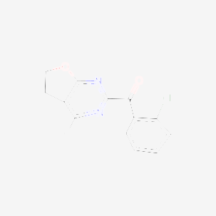 O=C(c1nc2c(c(C(F)(F)F)n1)CCO2)c1ccccc1Cl